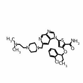 CCC(Oc1cc(-n2cnc3cnc(CN4CCN(CCN(C)C)CC4)cc32)sc1C(N)=O)c1ccccc1Cl